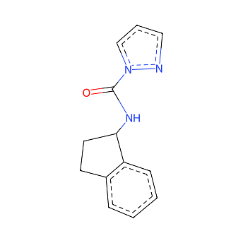 O=C(NC1CCc2ccccc21)n1cccn1